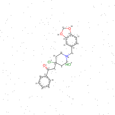 Cl.O=C(CC1(Cl)CCN(Cc2ccc3c(c2)OCO3)CC1)c1ccccc1